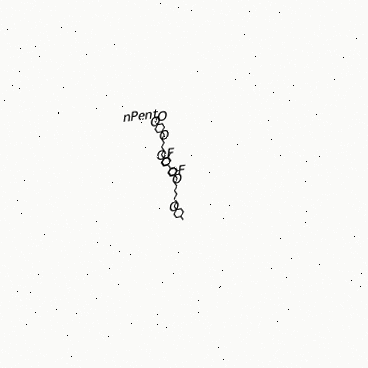 [CH2+][CH-]CCCC(=O)OC1CCC(OCCCCOc2ccc(-c3ccc(OCCCCCCOC4CCC(C)CC4)c(F)c3)cc2F)CC1